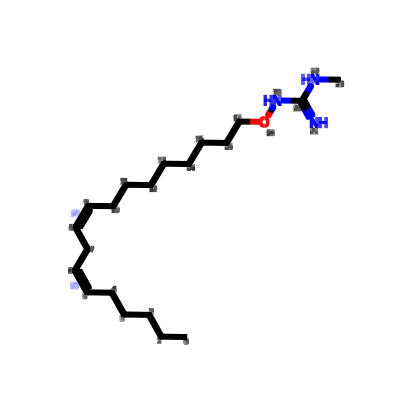 CCCCC/C=C\C/C=C\CCCCCCCCONC(=N)NC